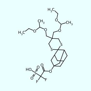 CCOC(C)OCC1(COC(C)OCC)CSC2(SC1)C1CC3CC2CC(OC(=O)C(F)(F)S(=O)(=O)O)(C3)C1